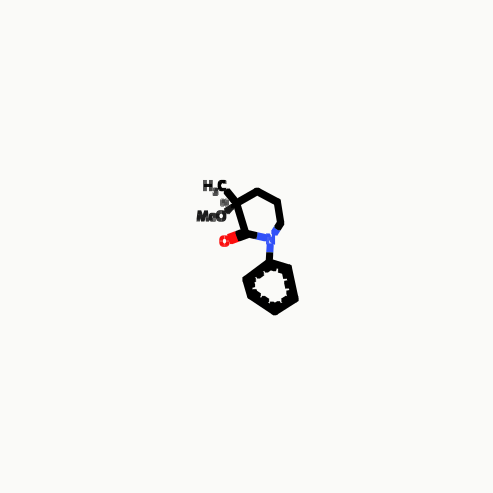 CO[C@@]1(C)CCCN(c2ccccc2)C1=O